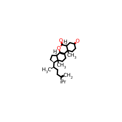 C=C(CC[C@@H](C)[C@H]1CC[C@H]2C3=C(CCC12C)C1(C)CCC(=O)C[C@@H]1C(=O)O3)C(C)C